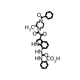 C[C@@H]1CN(C(=O)c2ccccc2)CCN1C(=O)C(=O)c1c[nH]c2c(NC(=O)Nc3ccccc3C(=O)O)cccc12